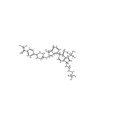 CN(C)C(=O)c1ccc(C2CCN(Cc3cc4c(-n5ccc6c(c(C(F)(F)F)nn6COCC[Si](C)(C)C)c5=O)ccnc4n3C)CC2)cc1